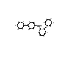 C1=CC(Nc2ccc(-c3ccccc3)cc2)C(c2ccccc2)C=C1